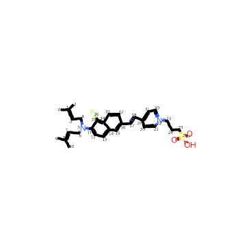 CC(C)=CCN(CC=C(C)C)c1ccc2cc(/C=C/c3cc[n+](CCCS(=O)(=O)O)cc3)ccc2c1F